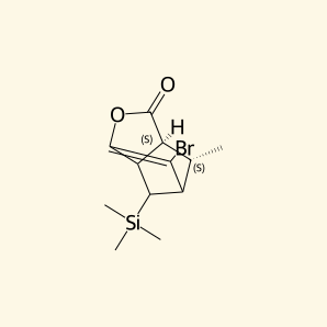 C[C@@H]1C2C(Br)=C3OC(=O)[C@@H]1C3C2[Si](C)(C)C